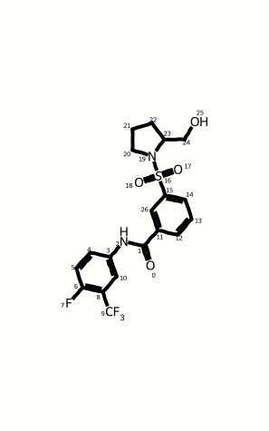 O=C(Nc1ccc(F)c(C(F)(F)F)c1)c1cccc(S(=O)(=O)N2CCCC2CO)c1